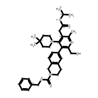 Cc1nc(CO)c(-c2ccc3c(c2)CCN(C(=O)OCc2ccccc2)C3)c(N2CCC(C)(C)CC2)c1CC(=O)OC(C)C